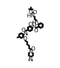 Cc1ccc(N(C)C(=O)c2ccc(NC(=O)c3ccccc3OCCCNC(=O)OC(C)(C)C)c(Cl)c2)c(OCCCCCC(=O)N2CCC(N(C)C)CC2)c1